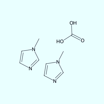 Cn1ccnc1.Cn1ccnc1.O=C(O)O